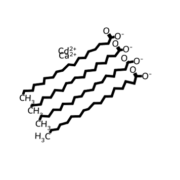 CCCCCCCCCCCCCCCCCC(=O)[O-].CCCCCCCCCCCCCCCCCC(=O)[O-].CCCCCCCCCCCCCCCCCC(=O)[O-].CCCCCCCCCCCCCCCCCC(=O)[O-].[Ca+2].[Cd+2]